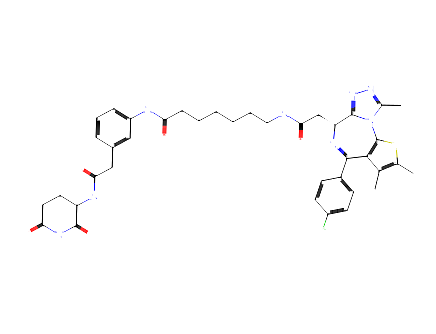 Cc1sc2c(c1C)C(c1ccc(Cl)cc1)=N[C@@H](CC(=O)NCCCCCCC(=O)Nc1cccc(CC(=O)NC3CCC(=O)NC3=O)c1)c1nnc(C)n1-2